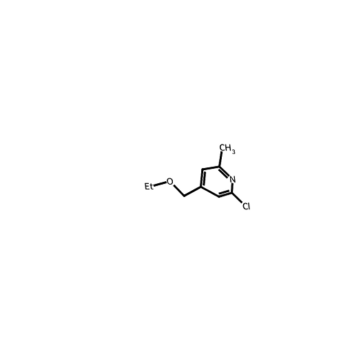 CCOCc1cc(C)nc(Cl)c1